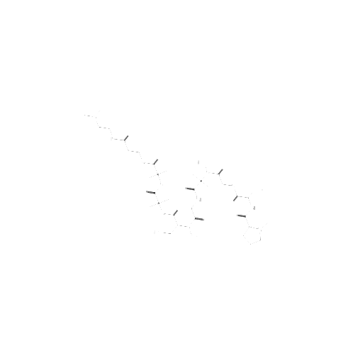 CCCCCCCCC(NC(=O)C1CCCN1C)C(=O)NCC(=O)N(C(C)C)C(C)(C)C(=O)NCC(=O)N(C(C)C)C(CC(C)C)C(=O)NC(C)(C)C(=O)NC(C)(C)C(=O)NCCC(=O)NCCN(C)C